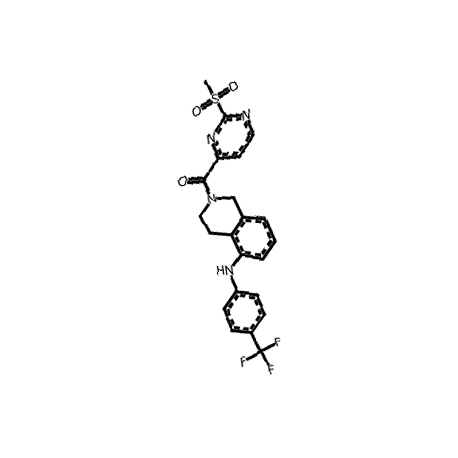 CS(=O)(=O)c1nccc(C(=O)N2CCc3c(cccc3Nc3ccc(C(F)(F)F)cc3)C2)n1